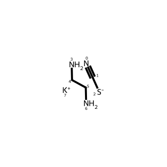 N#C[S-].NCCN.[K+]